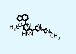 CCN1CC(n2cc(-c3n[nH]c4cc(OC)c(-c5cccc6c5CCC6)nc34)cn2)C1